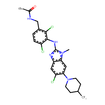 Cn1c(Nc2c(Cl)ccc(CNC(=O)C(C)(C)C)c2Cl)nc2cc(Cl)c(N3CCC(C(F)(F)F)CC3)cc21